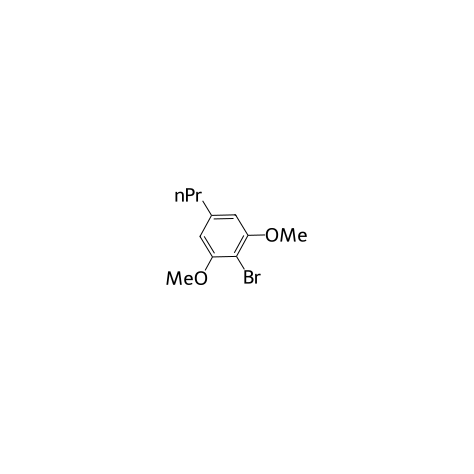 CCCc1cc(OC)c(Br)c(OC)c1